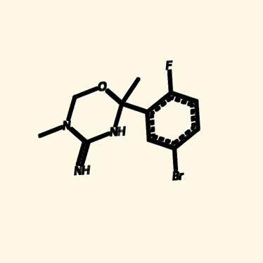 CN1COC(C)(c2cc(Br)ccc2F)NC1=N